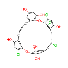 Oc1cc(O)c2c(c1)C/C=C\Cc1cc(c(Cl)cc1O)Oc1c(O)cc(cc1O)C/C(Cl)=C\Cc1c(O)cc(Cl)c(c1Cl)O2